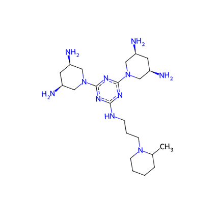 CC1CCCCN1CCCNc1nc(N2C[C@H](N)C[C@H](N)C2)nc(N2C[C@H](N)C[C@H](N)C2)n1